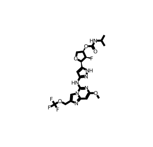 COc1cc2nc(COC(F)(F)F)cn2c(Nc2cc([C@H]3OC[C@@H](OC(=O)NC(C)C)[C@H]3F)[nH]n2)n1